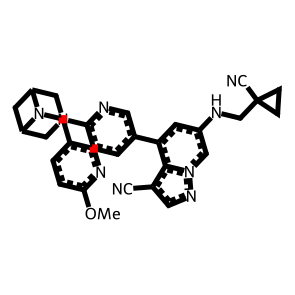 COc1ccc(CN2C3CC2CN(c2ccc(-c4cc(NCC5(C#N)CC5)cn5ncc(C#N)c45)cn2)C3)cn1